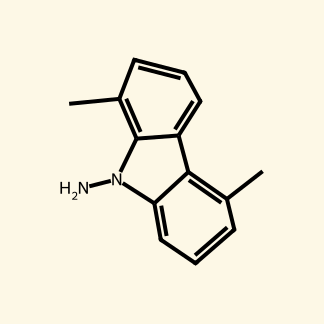 Cc1cccc2c1c1cccc(C)c1n2N